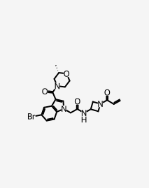 C=CC(=O)N1CC(NC(=O)Cn2cc(C(=O)N3CCO[C@@H](C)C3)c3cc(Br)ccc32)C1